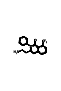 NCCc1cc2cccc(C(F)(F)F)c2c(=O)n1-c1ccccc1